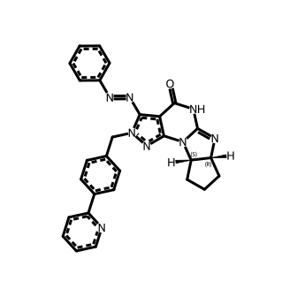 O=C1NC2=N[C@@H]3CCC[C@@H]3N2c2nn(Cc3ccc(-c4ccccn4)cc3)c(N=Nc3ccccc3)c21